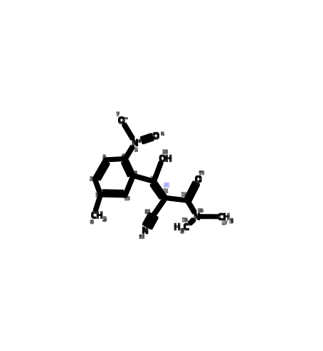 Cc1ccc([N+](=O)[O-])c(/C(O)=C(\C#N)C(=O)N(C)C)c1